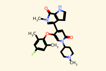 Cc1cc(F)cc(C)c1Oc1cn(C2CCN(C)CC2)c(=O)cc1-c1cn(C)c(=O)c2[nH]ccc12